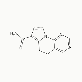 NC(=O)c1ccn2c1CCc1cncnc1-2